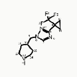 FC(F)(F)C1(c2ncn(CC3CCNCC3)n2)CC1